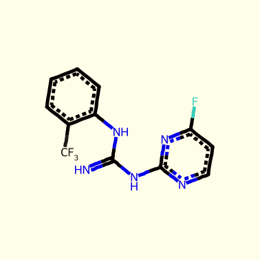 N=C(Nc1nccc(F)n1)Nc1ccccc1C(F)(F)F